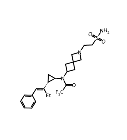 CC/C(=C\c1ccccc1)[C@@H]1C[C@H]1N(C(=O)C(F)(F)F)C1CC2(C1)CN(CCS(N)(=O)=O)C2